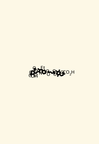 CCc1c2c(nc3ccc(OC(=O)CCC(=O)Oc4c(C)c(C)c5c(c4C)CC[C@](C)(C(=O)O)O5)cc13)-c1cc3c(c(=O)n1C2)COC(=O)[C@]3(O)CC